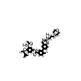 CC(=O)Nc1cc(NC(=O)c2ccc(C)c(-c3ccc4nc(NCCCN5CCOCC5)ncc4c3)c2)ccc1OC(C)C1CC1